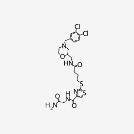 NC(=O)CNC(=O)c1csc(SCCCC(=O)NCC2CN(Cc3ccc(Cl)c(Cl)c3)CCO2)n1